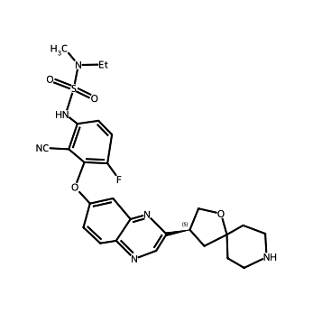 CCN(C)S(=O)(=O)Nc1ccc(F)c(Oc2ccc3ncc([C@H]4COC5(CCNCC5)C4)nc3c2)c1C#N